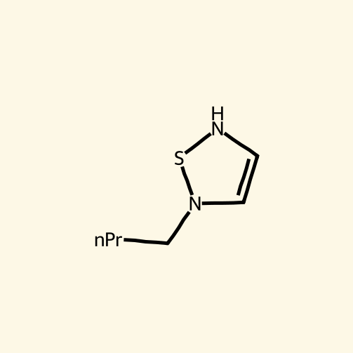 CCCCN1C=CNS1